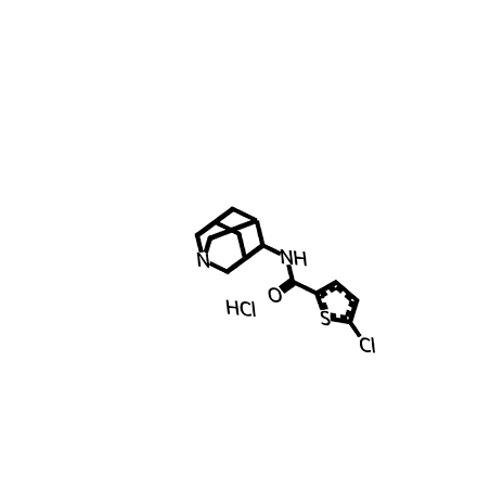 Cl.O=C(NC1C2CC3CC1CN(C3)C2)c1ccc(Cl)s1